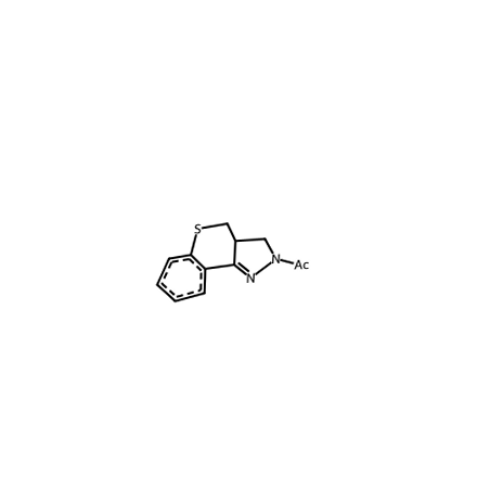 CC(=O)N1CC2CSc3ccccc3C2=N1